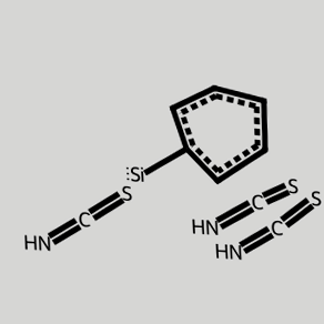 N=C=S.N=C=S.N=C=S.[Si]c1ccccc1